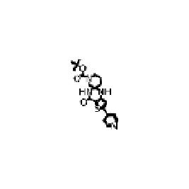 CC(C)(C)OC(=O)N1CCCC2(C1)NC(=O)c1sc(-c3ccncc3)cc1N2